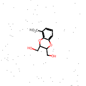 O=C(O)c1cccc2c1OC(CO)C(CO)O2